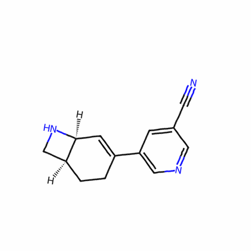 N#Cc1cncc(C2=C[C@@H]3NC[C@@H]3CC2)c1